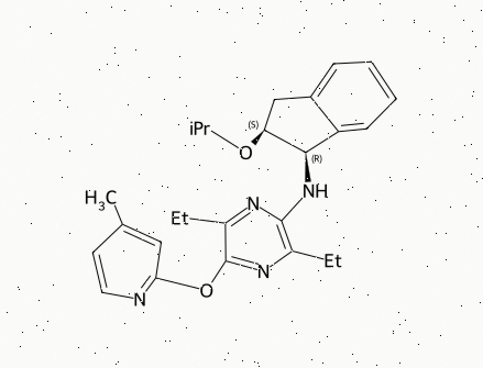 CCc1nc(Oc2cc(C)ccn2)c(CC)nc1N[C@@H]1c2ccccc2C[C@@H]1OC(C)C